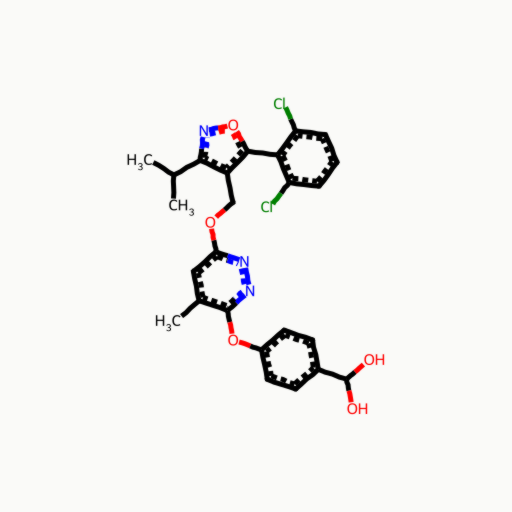 Cc1cc(OCc2c(C(C)C)noc2-c2c(Cl)cccc2Cl)nnc1Oc1ccc(C(O)O)cc1